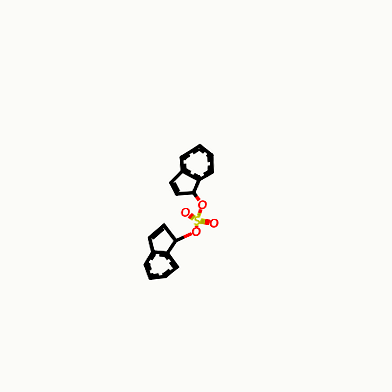 O=S(=O)(OC1C=Cc2ccccc21)OC1C=Cc2ccccc21